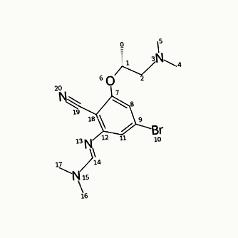 C[C@H](CN(C)C)Oc1cc(Br)cc(/N=C/N(C)C)c1C#N